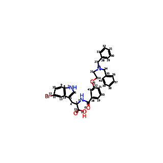 O=C(NC(Cc1c[nH]c2ccc(Br)cc12)C(=O)O)c1cccc(OCCN(Cc2ccccc2)Cc2ccccc2)c1